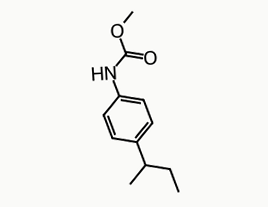 CCC(C)c1ccc(NC(=O)OC)cc1